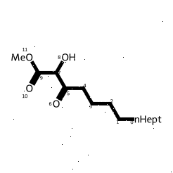 CCCCCCCCCCCC(=O)C(O)C(=O)OC